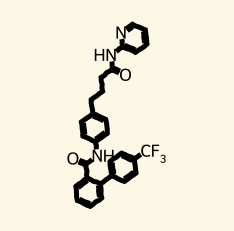 O=C(CCCc1ccc(NC(=O)c2ccccc2-c2ccc(C(F)(F)F)cc2)cc1)Nc1ccccn1